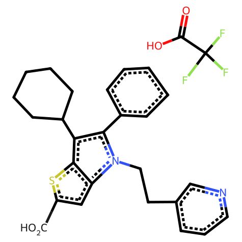 O=C(O)C(F)(F)F.O=C(O)c1cc2c(s1)c(C1CCCCC1)c(-c1ccccc1)n2CCc1cccnc1